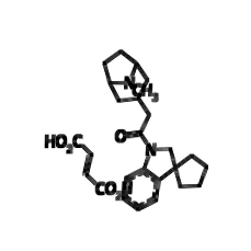 CN1C2CCC1CC(CC(=O)N1CC3(CCCC3)c3ccccc31)C2.O=C(O)C=CC(=O)O